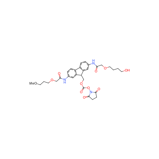 COCCCOCC(=O)Nc1ccc2c(c1)C(COC(=O)ON1C(=O)CCC1=O)c1cc(NC(=O)COCCCCO)ccc1-2